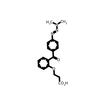 CN(C)N=Nc1ccc(C(=O)c2ccccc2OCCC(=O)O)cc1